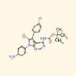 CC(C)(C)OC(=O)Nc1ncnc2c1c(-c1ccc(Cl)cc1)c(Cl)n2-c1ccc(N)cc1